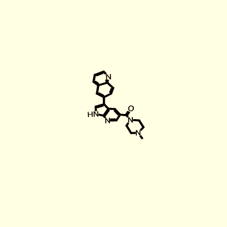 CN1CCN(C(=O)c2cnc3[nH]cc(-c4ccc5ncccc5c4)c3c2)CC1